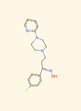 ON=C(CCN1CCN(c2ccccn2)CC1)c1ccc(F)cc1